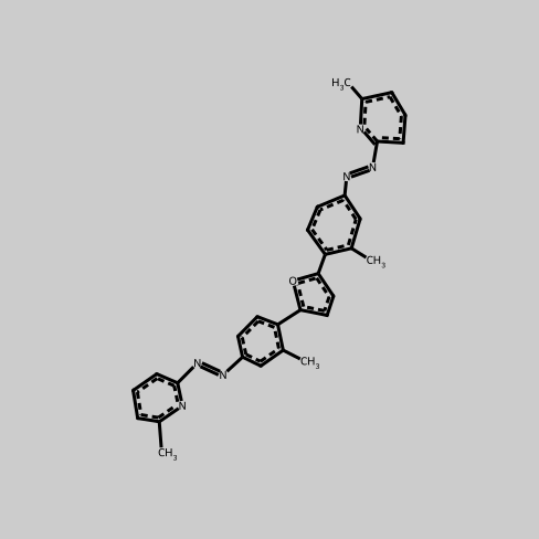 Cc1cccc(N=Nc2ccc(-c3ccc(-c4ccc(N=Nc5cccc(C)n5)cc4C)o3)c(C)c2)n1